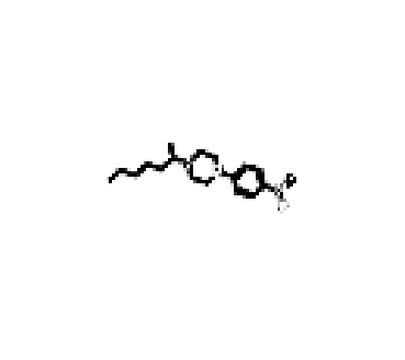 CCCCCC(C)N1CCN(c2ccc([N+](=O)[O-])cc2)CC1